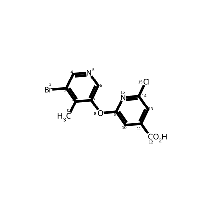 Cc1c(Br)cncc1Oc1cc(C(=O)O)cc(Cl)n1